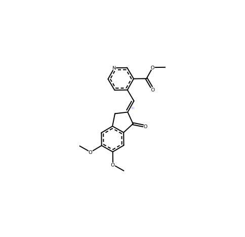 COC(=O)c1cnccc1/C=C1\Cc2cc(OC)c(OC)cc2C1=O